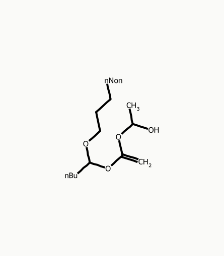 C=C(OC(C)O)OC(CCCC)OCCCCCCCCCCCC